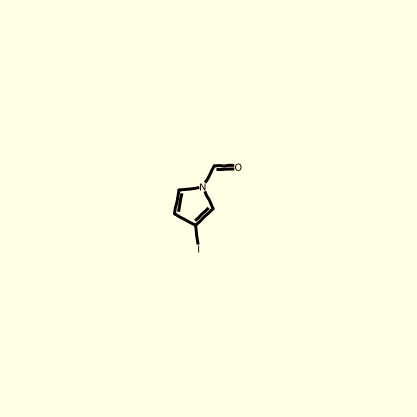 O=Cn1ccc(I)c1